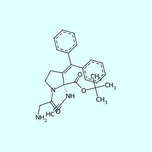 C#CN[C@@]1(C(=O)OC(C)(C)C)C(=C(c2ccccc2)c2ccccc2)CCN1C(=O)CN